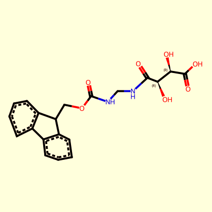 O=C(NCNC(=O)[C@H](O)[C@@H](O)C(=O)O)OCC1c2ccccc2-c2ccccc21